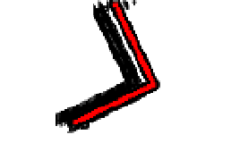 O.O.O.O.O.O.O.O.O.O.O.O.O.O.O.O.O.O.O.O.O.O.O.O.O.O.O.O.O.O.O.O.O.O.O.O.O.O.O.O.O.O.O.O.O.O.O.O.O.O.O.O.O.O.O.O.O.O.O.O.O.O.O.O.O.O.O.O.O.O.O.O.O.O.O.O.O.O.O.O.O.O.O.O.O.O.O.O.O.O.O.O.[Na+].[Na+].[Na+].[Na+].[OH-].[OH-].[OH-].[OH-]